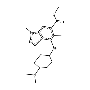 COC(=O)c1cc2c(cnn2C)c(NC2CCC(N(C)C)CC2)c1C